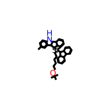 Cc1ccc2c(c1)C1C(N2)C2C=CC=C3C2C1[Si]3(CCCCCCOC(C)(C)C)C1C2C=CC=CC2C2C=CC=CC21